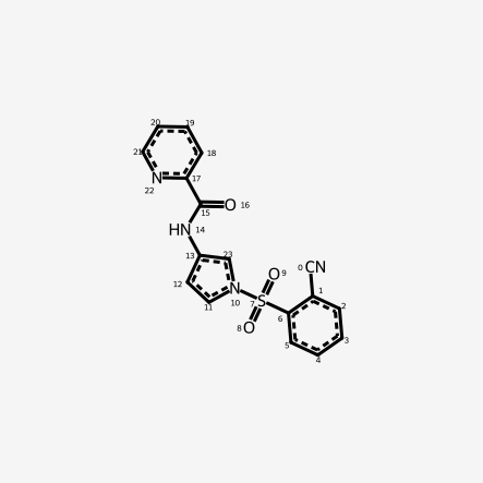 N#Cc1ccccc1S(=O)(=O)n1ccc(NC(=O)c2ccccn2)c1